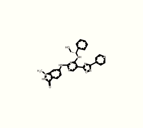 Cn1[nH]c(=O)c2ccc(Nc3ncc(-c4nc(-c5ccncc5)no4)c(N[C@H](CO)c4ccccc4)n3)cc21